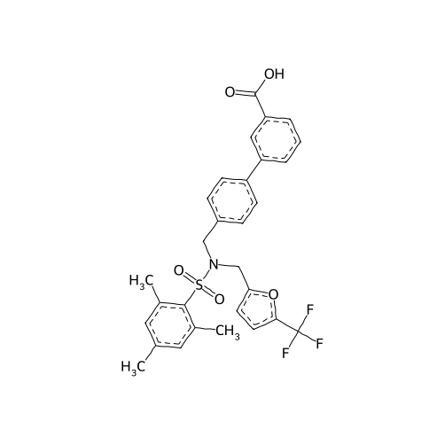 Cc1cc(C)c(S(=O)(=O)N(Cc2ccc(-c3cccc(C(=O)O)c3)cc2)Cc2ccc(C(F)(F)F)o2)c(C)c1